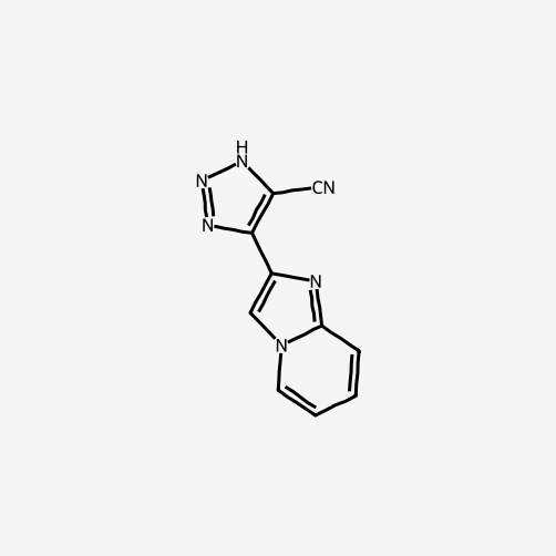 N#Cc1[nH]nnc1-c1cn2ccccc2n1